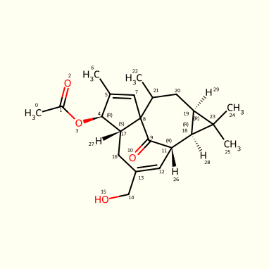 CC(=O)O[C@H]1C(C)=CC23C(=O)[C@@H](C=C(CO)C[C@H]12)[C@H]1[C@@H](CC3C)C1(C)C